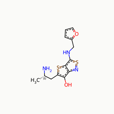 C[C@H](N)Cc1sc2c(NCc3ccco3)snc2c1O